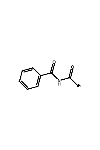 CC(C)C(=O)NC(=O)c1cc[c]cc1